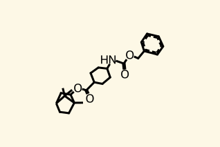 CC1(C)C2CCC1(C)C(OC(=O)C1CCC(NC(=O)OCc3ccccc3)CC1)C2